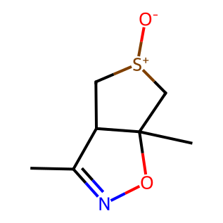 CC1=NOC2(C)C[S+]([O-])CC12